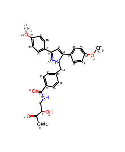 COC(=O)C(O)CNC(=O)c1ccc(Cn2nc(-c3ccc(OC(F)(F)F)cc3)cc2-c2ccc(OC(F)(F)F)cc2)cc1